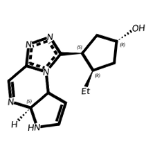 CC[C@@H]1C[C@@H](O)C[C@@H]1c1nnc2n1C1C=CN[C@H]1N=C2